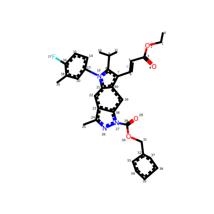 CCOC(=O)/C=C/c1c(C(C)C)n(-c2ccc(F)c(C)c2)c2cc3c(C)nn(C(=O)OCc4ccccc4)c3cc12